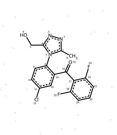 Cc1nnc(CO)n1-c1ccc(Cl)cc1C(=O)c1c(F)cccc1F